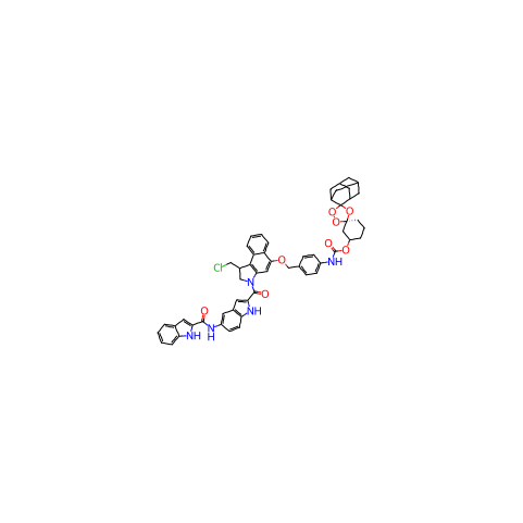 O=C(Nc1ccc(COc2cc3c(c4ccccc24)C(CCl)CN3C(=O)c2cc3cc(NC(=O)c4cc5ccccc5[nH]4)ccc3[nH]2)cc1)OC1CCC[C@]2(C1)OOC1(O2)C2CC3CC(C2)CC1C3